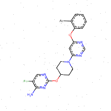 CC(=O)c1ccccc1Oc1cc(N2CCC(Oc3ncc(F)c(N)n3)CC2)ncn1